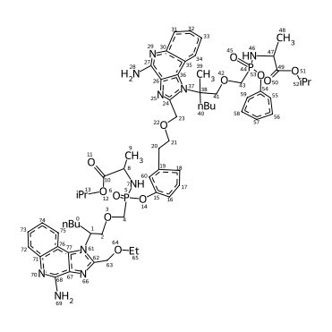 CCCCC(COCP(=O)(NC(C)C(=O)OC(C)C)Oc1cccc(CCOCc2nc3c(N)nc4ccccc4c3n2C(C)(CCCC)COCP(=O)(NC(C)C(=O)OC(C)C)Oc2ccccc2)c1)n1c(COCC)nc2c(N)nc3ccccc3c21